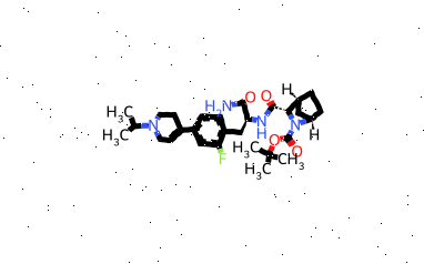 CC(C)N1CC=C(c2ccc(C[C@H](NC(=O)[C@@H]3[C@H]4CC[C@H](C4)N3C(=O)OC(C)(C)C)C(N)=O)c(F)c2)CC1